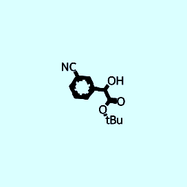 CC(C)(C)OC(=O)C(O)c1cccc(C#N)c1